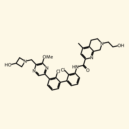 COc1nc(-c2cccc(-c3cccc(NC(=O)c4cc(C)c5c(n4)CN(CCO)CC5)c3Cl)c2Cl)cnc1CN1CC(O)C1